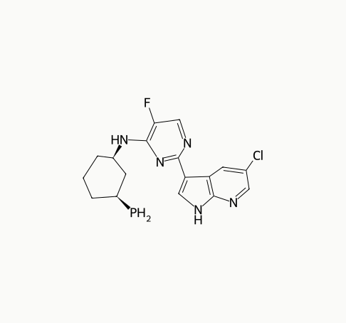 Fc1cnc(-c2c[nH]c3ncc(Cl)cc23)nc1N[C@@H]1CCC[C@H](P)C1